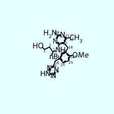 CCCCC(CCO)Nc1nc(N)nc(C)c1Cc1cc(Cc2nn[nH]n2)ccc1OC